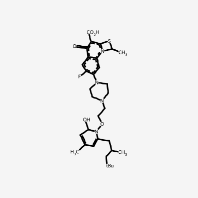 CC1=CC(O)N(OCCN2CCN(c3cc4c(cc3F)c(=O)c(C(=O)O)c3n4C(C)S3)CC2)C(CC(C)CC(C)(C)C)=C1